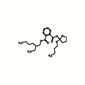 CCCCOC1(OC(=O)c2ccccc2C(=O)OCC(CC)CCCC)CCCO1